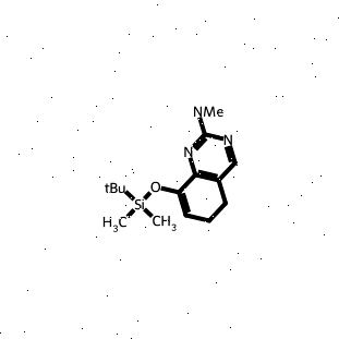 CNc1ncc2c(n1)C(O[Si](C)(C)C(C)(C)C)=CCC2